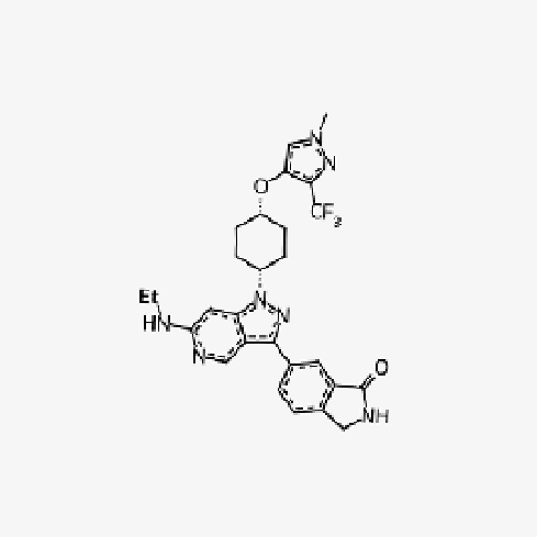 CCNc1cc2c(cn1)c(-c1ccc3c(c1)C(=O)NC3)nn2[C@H]1CC[C@@H](Oc2cn(C)nc2C(F)(F)F)CC1